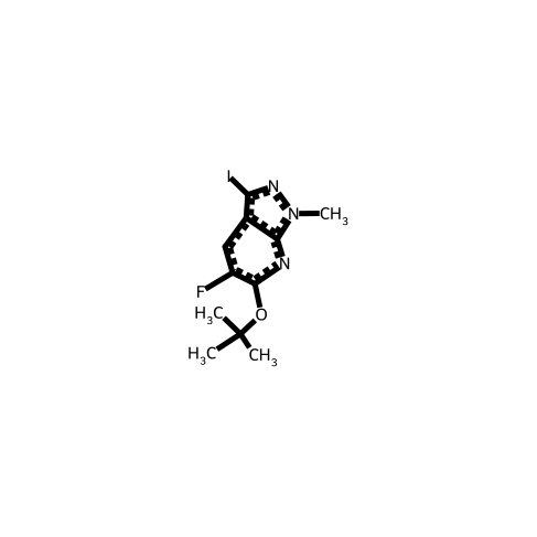 Cn1nc(I)c2cc(F)c(OC(C)(C)C)nc21